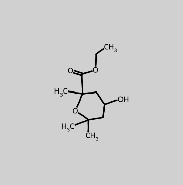 CCOC(=O)C1(C)CC(O)CC(C)(C)O1